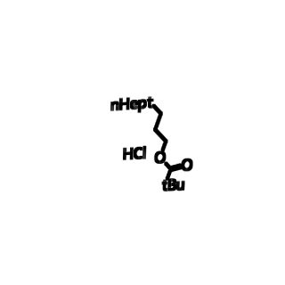 CCCCCCCCCCOC(=O)C(C)(C)C.Cl